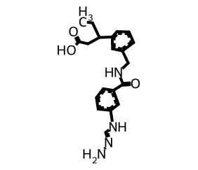 CCC(CC(=O)O)c1cccc(CNC(=O)c2cccc(NC=NN)c2)c1